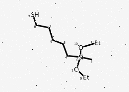 CCO[Si](C)(CCCCCS)OCC